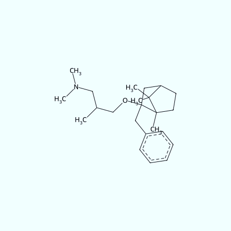 CC(COC1(Cc2ccccc2)CC2CCC1(C)C2(C)C)CN(C)C